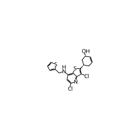 O[C@H]1C=CC[C@@H](c2sc3c(NCc4cccs4)cc(Cl)nc3c2Cl)C1